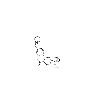 C=C[C@]1(C(=O)OC)CC[C@@H](C(=C)C)[C@H](c2ccc(CN3CCCC3)cc2)C1